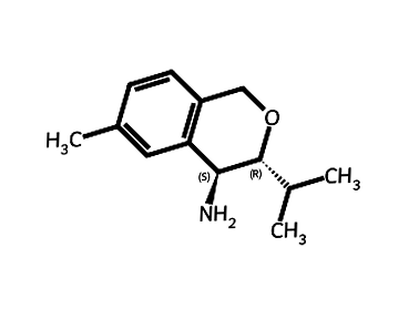 Cc1ccc2c(c1)[C@H](N)[C@@H](C(C)C)OC2